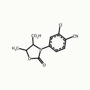 CC1OC(=O)N(c2ccc(C#N)c(Cl)c2)C1C(=O)O